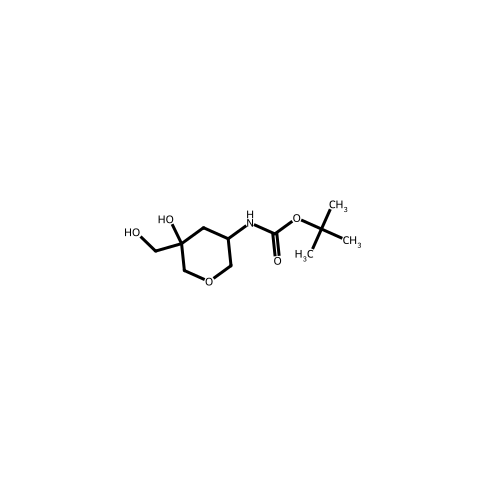 CC(C)(C)OC(=O)NC1COCC(O)(CO)C1